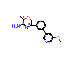 COc1cncc(-c2cccc([C@]3(C)CO[C@H](C)C(N)=N3)c2)c1